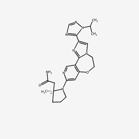 CC(C)n1ncnc1-c1cn2c(n1)-c1cnc(N3CCC[C@@]3(C)CC(N)=O)cc1OCC2